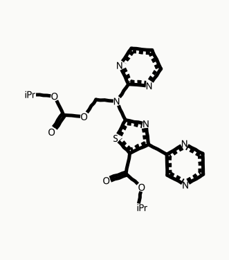 CC(C)OC(=O)OCN(c1ncccn1)c1nc(-c2cnccn2)c(C(=O)OC(C)C)s1